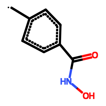 [CH2]c1ccc(C(=O)NO)cc1